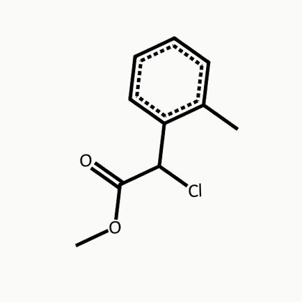 COC(=O)C(Cl)c1ccccc1C